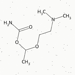 CC(OCCN(C)C)OC(N)=O